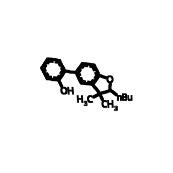 CCCCC1Oc2ccc(-c3ccccc3O)cc2C1(C)C